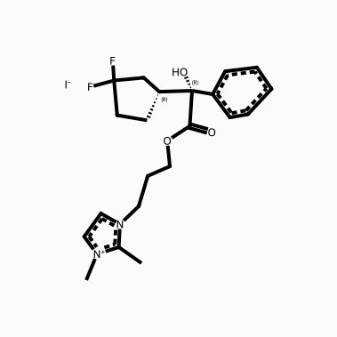 Cc1n(CCCOC(=O)[C@](O)(c2ccccc2)[C@@H]2CCC(F)(F)C2)cc[n+]1C.[I-]